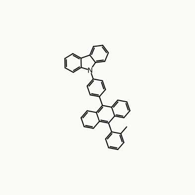 Cc1ccccc1-c1c2ccccc2c(-c2ccc(-n3c4ccccc4c4ccccc43)cc2)c2ccccc12